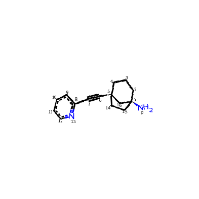 N[C@@]12CCC[C@@](C#Cc3ccccn3)(CC1)C2